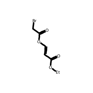 CCOC(=O)C=COC(=O)CBr